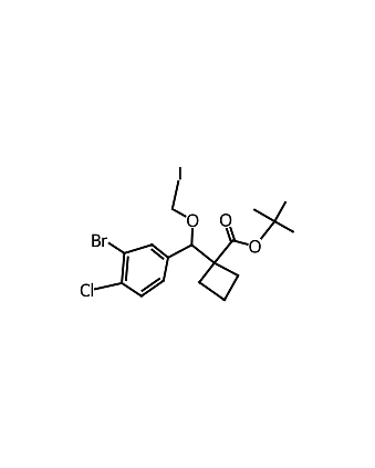 CC(C)(C)OC(=O)C1(C(OCI)c2ccc(Cl)c(Br)c2)CCC1